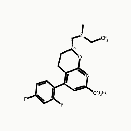 CCOC(=O)c1cc(-c2ccc(F)cc2F)c2c(n1)O[C@H](CN(C)CC(F)(F)F)CC2